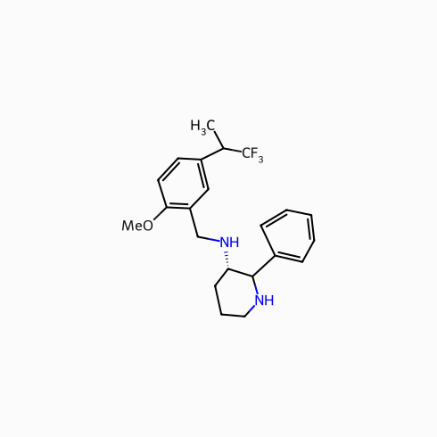 COc1ccc(C(C)C(F)(F)F)cc1CN[C@H]1CCCNC1c1ccccc1